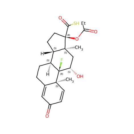 CCC(=O)O[C@]1(C(=O)S)CC[C@H]2[C@@H]3CCC4=CC(=O)C=C[C@]4(C)[C@@]3(F)[C@@H](O)C[C@@]21C